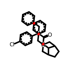 O=C(OC1C2CCC1CN(Cc1ccccc1)C2)N(Cc1ccccc1)c1ccc(Cl)cc1